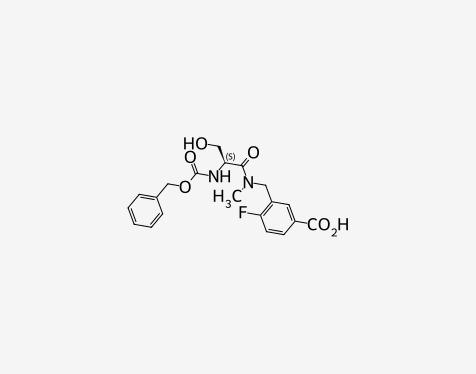 CN(Cc1cc(C(=O)O)ccc1F)C(=O)[C@H](CO)NC(=O)OCc1ccccc1